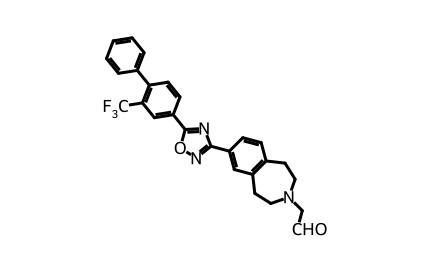 O=CCN1CCc2ccc(-c3noc(-c4ccc(-c5ccccc5)c(C(F)(F)F)c4)n3)cc2CC1